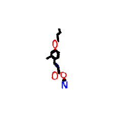 CCCCOc1ccc(/C=C/C(=O)OC#N)c(C)c1